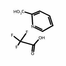 O=C(O)C(F)(F)F.O=C(O)c1ccccn1